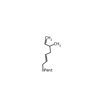 C=CC(C)CC=CCCCCCC